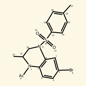 CC(=O)N1c2ccc(Br)cc2N(S(=O)(=O)c2ccc(C)cc2)CC1C